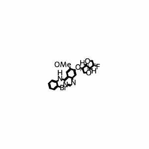 COc1cc2c(Nc3ccccc3Br)ncnc2cc1O[C@@H]1CO[C@@H]2[C@H]1OC[C@H]2F